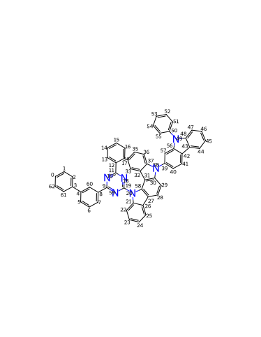 c1ccc(-c2cccc(-c3nc(-c4ccccc4)nc(-n4c5ccccc5c5ccc6c(c7ccccc7n6-c6ccc7c8ccccc8n(-c8ccccc8)c7c6)c54)n3)c2)cc1